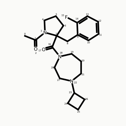 CC(=O)N1CCCC1(Cc1ccccc1F)C(=O)N1CCCN(C2CCC2)CC1